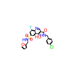 O=C(NCc1ccc(Cl)cc1)c1cnc2c(F)cc(S(=O)(=O)NCc3ccco3)cc2c1O